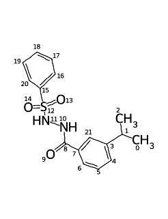 CC(C)c1cccc(C(=O)NNS(=O)(=O)c2ccccc2)c1